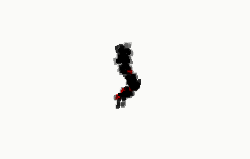 CNc1ccc(-c2ccnc3c2cc(CN2CCC(c4ccc(C(=O)N(C)C)cc4C)CC2)n3C)nc1